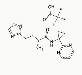 NC(CCn1nccn1)C(=O)NC1(c2ncccn2)CC1.O=C(O)C(F)(F)F